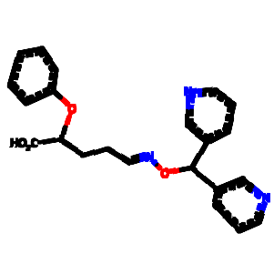 O=C(O)C(CCC=NOC(c1cccnc1)c1cccnc1)Oc1ccccc1